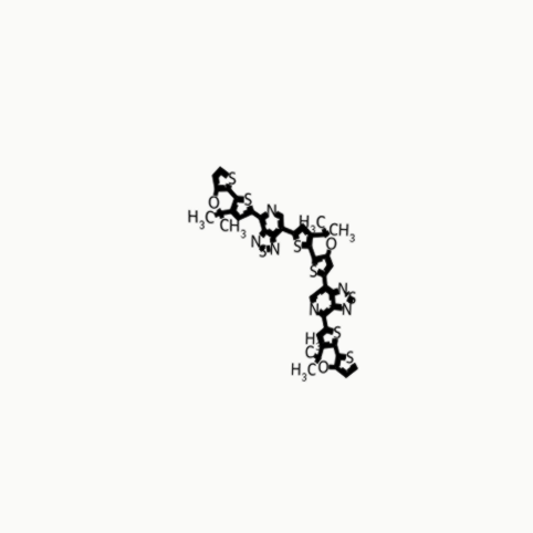 CC1(C)Oc2cc(-c3cnc(-c4cc5c(s4)-c4sccc4OC5(C)C)c4nsnc34)sc2-c2sc(-c3cnc(-c4cc5c(s4)-c4sccc4OC5(C)C)c4nsnc34)cc21